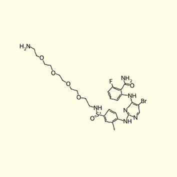 Cc1cc([S+]([O-])NCCOCCOCCOCCOCCN)ccc1Nc1ncc(Br)c(Nc2cccc(F)c2C(N)=O)n1